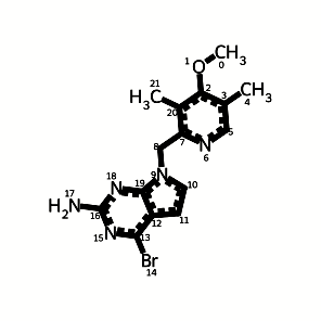 COc1c(C)cnc(Cn2ccc3c(Br)nc(N)nc32)c1C